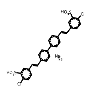 O=S(=O)(O)c1cc(C=Cc2ccc(-c3ccc(C=Cc4ccc(Cl)c(S(=O)(=O)O)c4)cc3)cc2)ccc1Cl.[Na].[Na]